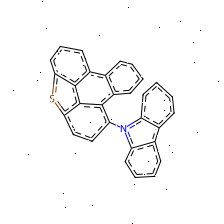 c1ccc2c(c1)c1cccc3sc4ccc(-n5c6ccccc6c6ccccc65)c2c4c31